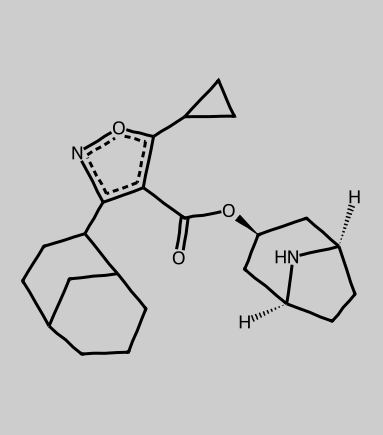 O=C(O[C@H]1C[C@H]2CC[C@@H](C1)N2)c1c(C2CCC3CCCC2C3)noc1C1CC1